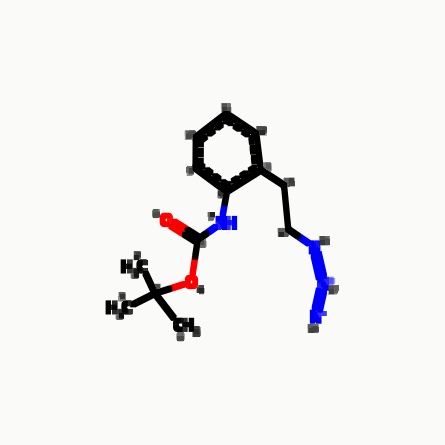 CC(C)(C)OC(=O)Nc1ccccc1CCN=[N+]=[N-]